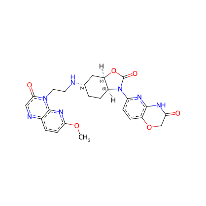 COc1ccc2ncc(=O)n(CCN[C@H]3CC[C@H]4[C@@H](C3)OC(=O)N4c3ccc4c(n3)NC(=O)CO4)c2n1